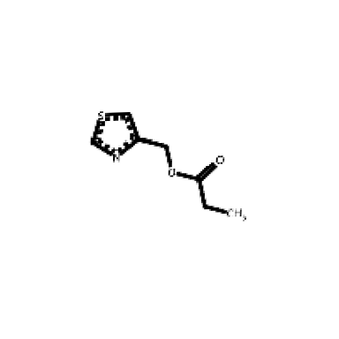 CCC(=O)OCc1cscn1